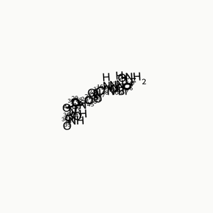 NC(=O)c1c(F)cccc1Nc1nc(NC2CCN(S(=O)(=O)C3CCC(Nc4cccc5c4CN(C4CCC(=O)NC4=O)C5=O)CC3)CC2)ncc1Br